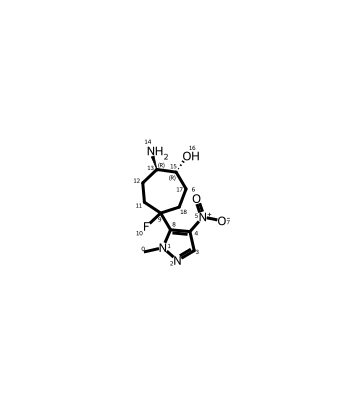 Cn1ncc([N+](=O)[O-])c1C1(F)CC[C@@H](N)[C@H](O)CC1